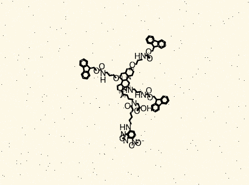 C[C@H](CCCN(CC(=O)O)C(=O)CCCCCNc1ccc([N+](=O)[O-])c2nonc12)[C@H]1CCC2C3C(C[C@H](NCCCNC(=O)OCC4c5ccccc5-c5ccccc54)[C@@]21C)[C@@]1(C)CC[C@@H](OCCCNC(=O)OCC2c4ccccc4-c4ccccc42)CC1C[C@H]3OCCCNC(=O)OCC1c2ccccc2-c2ccccc21